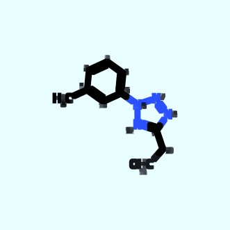 Cc1cccc(-n2nnc(CC=O)n2)c1